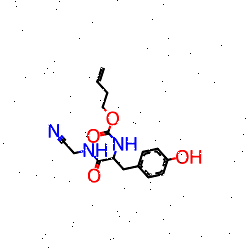 C=CCCOC(=O)NC(Cc1ccc(O)cc1)C(=O)NCC#N